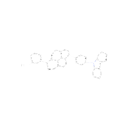 Cc1cccc(-c2ccc3ccc4c(-c5ccc(-n6c7ccccc7c7ccccc76)cc5)ccc5ccc2c3c54)c1